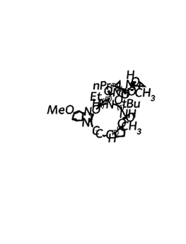 CCC[C@@H]1C[C@]1(NC(=O)[C@@H]1[C@H](CC)[C@@H]2CN1C(=O)[C@H](C(C)(C)C)NC(=O)O[C@]1(C)CCC[C@H]1CCCCCc1nc3ccc(OC)cc3nc1O2)C(=O)NS(=O)(=O)C1(C)CC1